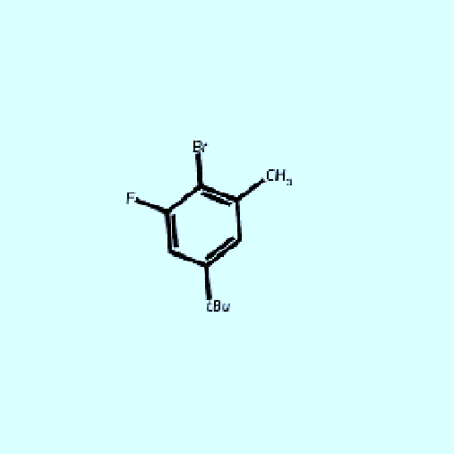 Cc1cc(C(C)(C)C)cc(F)c1Br